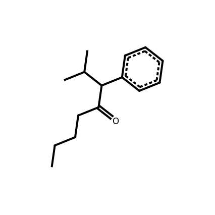 CCCCC(=O)C(c1ccccc1)C(C)C